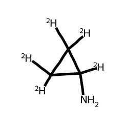 [2H]C1([2H])C([2H])([2H])C1([2H])N